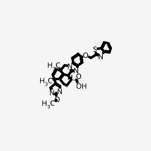 COc1ncc(C2(C)C=CC3(C)Cn4c(nc5cc(OCc6nc7ccccc7s6)ccc54)[C@H]4C3=C2CC[C@H]4C(=O)O)cn1